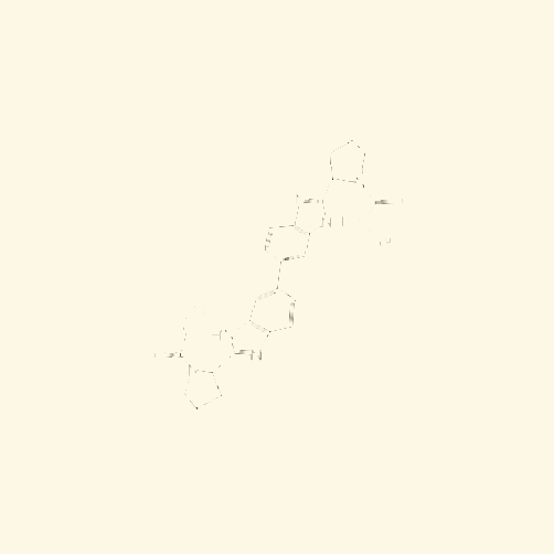 CC(C)(C)OC(=O)N1CCCC1c1nc2ccc(-c3ccc4nc(C5CCCN5C(=O)OC(C)(C)C)[nH]c4c3)cc2[nH]1